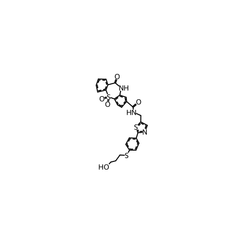 O=C(NCc1cnc(-c2ccc(SCCCO)cc2)s1)c1ccc2c(c1)NC(=O)c1ccccc1S2(=O)=O